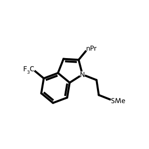 CCCc1cc2c(C(F)(F)F)cccc2n1CCSC